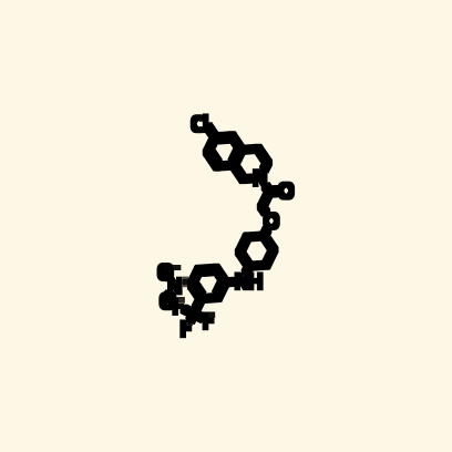 O=C(COC1CCC(Nc2ccc([N+](=O)[O-])c(C(F)(F)F)c2)CC1)N1CCc2cc(Cl)ccc2C1